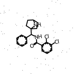 O=C(NC(c1ccccc1)C12CCC(CC1)N2)c1cccc(Cl)c1Cl